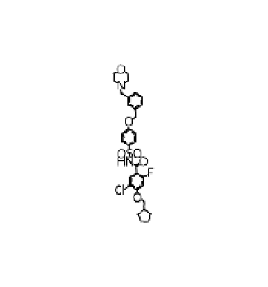 O=C(NS(=O)(=O)c1ccc(OCc2cccc(CN3CCOCC3)c2)cc1)c1cc(Cl)c(OCC2CCCC2)cc1F